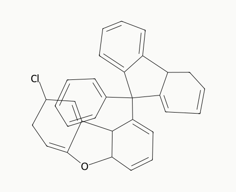 ClC1C=C2C(=CC1)OC1C=CC=C(C3(c4ccccc4)C4=CC=CCC4c4ccccc43)C21